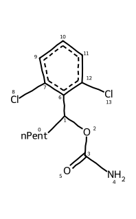 CCCCCC(OC(N)=O)c1c(Cl)cccc1Cl